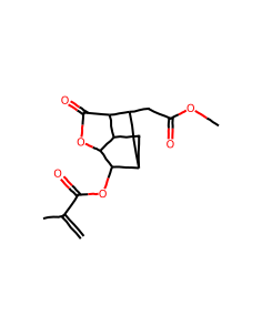 C=C(C)C(=O)OC1C2CC3C1OC(=O)C3C2CC(=O)OC